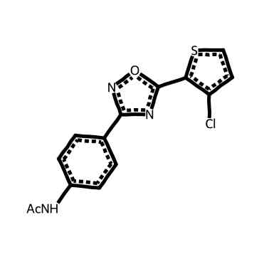 CC(=O)Nc1ccc(-c2noc(-c3sccc3Cl)n2)cc1